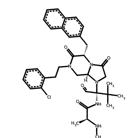 CN[C@@H](C)C(=O)N[C@](C=O)(N1CC(=O)N2[C@@H](Cc3ccc4ccccc4c3)C(=O)N(CCc3ccccc3Cl)C[C@@H]21)C(C)(C)C